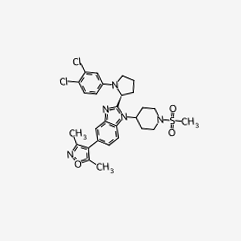 Cc1noc(C)c1-c1ccc2c(c1)nc([C@@H]1CCCN1c1ccc(Cl)c(Cl)c1)n2C1CCN(S(C)(=O)=O)CC1